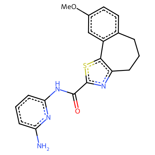 COc1ccc2c(c1)-c1sc(C(=O)Nc3cccc(N)n3)nc1CCC2